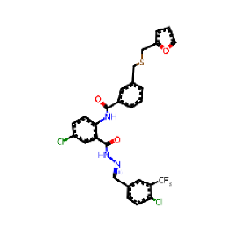 O=C(Nc1ccc(Cl)cc1C(=O)N/N=C/c1ccc(Cl)c(C(F)(F)F)c1)c1cccc(CSCc2ccco2)c1